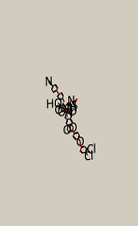 Cc1nc(C)c(S(=O)(=O)N2Cc3cc4c(cc3CC2C(=O)N[C@@H](Cc2ccc(-c3ccc(C#N)cc3)cc2)C(=O)O)OC[C@H](c2ccc(OCc3ccc(Cl)c(Cl)c3)cc2)O4)s1